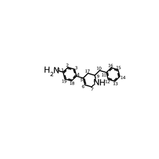 Nc1ccc(C2=CCNC(Cc3ccccc3)C2)cc1